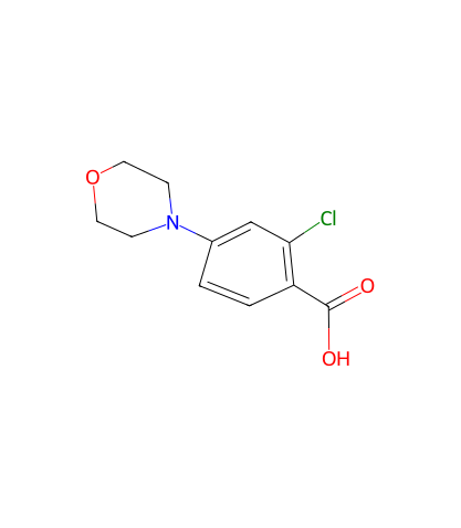 O=C(O)c1ccc(N2CCOCC2)cc1Cl